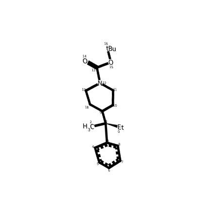 CC[C@](C)(c1ccccc1)C1CCN(C(=O)OC(C)(C)C)CC1